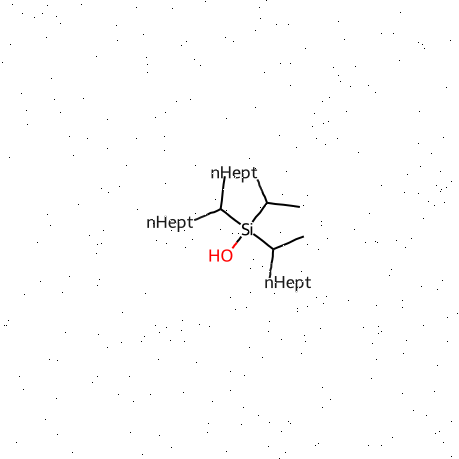 CCCCCCCC(C)[Si](O)(C(C)CCCCCCC)C(C)CCCCCCC